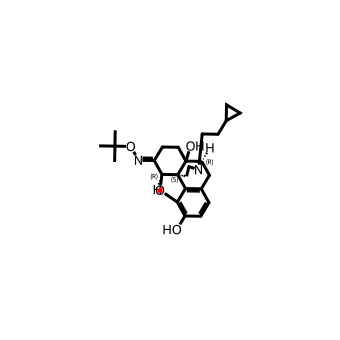 CC(C)(C)ON=C1CCC2(O)[C@H]3Cc4ccc(O)c5c4[C@@]2(CCN3CCC2CC2)[C@H]1O5